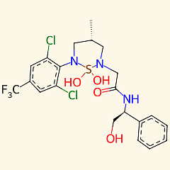 C[C@@H]1CN(CC(=O)N[C@H](CO)c2ccccc2)S(O)(O)N(c2c(Cl)cc(C(F)(F)F)cc2Cl)C1